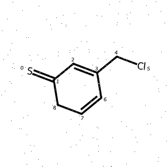 S=C1C=C(CCl)C=CC1